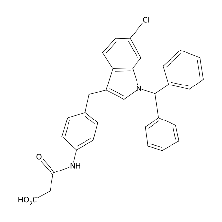 O=C(O)CC(=O)Nc1ccc(Cc2cn(C(c3ccccc3)c3ccccc3)c3cc(Cl)ccc23)cc1